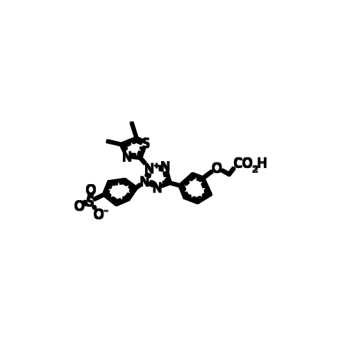 Cc1nc(-[n+]2nc(-c3cccc(OCC(=O)O)c3)nn2-c2ccc(S(=O)(=O)[O-])cc2)sc1C